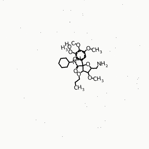 CCCOC1C(OC)C(CN)OC1(C(=O)N(O)C1CCCCC1)c1cc(OC)c(OC)c(OC)c1